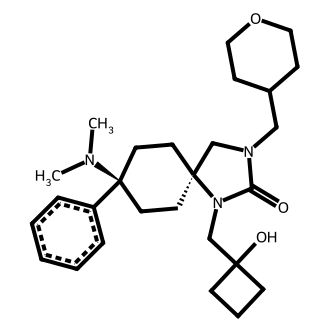 CN(C)[C@]1(c2ccccc2)CC[C@]2(CC1)CN(CC1CCOCC1)C(=O)N2CC1(O)CCC1